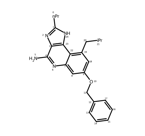 CCCc1nc2c(N)nc3cc(OCc4ccccc4)cc(CC(C)C)c3c2[nH]1